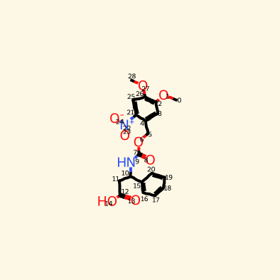 COc1cc(COC(=O)NC(CC(=O)O)c2ccccc2)c([N+](=O)[O-])cc1OC